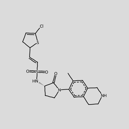 Cc1cc2c(cc1N1CC[C@H](NS(=O)(=O)/C=C/C3CC=C(Cl)S3)C1=O)CCNC2